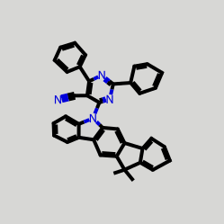 CC1(C)c2ccccc2-c2cc3c(cc21)c1ccccc1n3-c1nc(-c2ccccc2)nc(-c2ccccc2)c1C#N